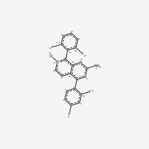 Nc1nc(-c2ccc(F)cc2F)c2cc[n+]([O-])c(-c3c(F)cccc3F)c2n1